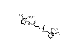 CCOC(=O)C1=C(C(F)(F)F)C2C=CC1(CNC(=O)CCCC(=O)NCC13C=CC(O1)C(C(F)(F)F)=C3C(=O)OCC)O2